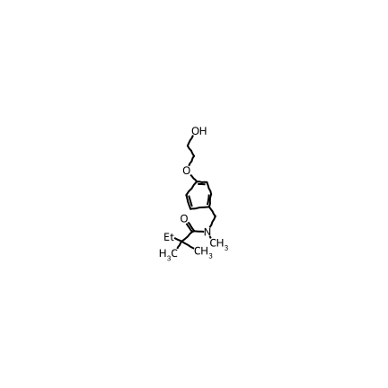 CCC(C)(C)C(=O)N(C)Cc1ccc(OCCO)cc1